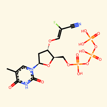 Cc1cn([C@H]2C[C@H](O/C=C(\F)C#N)[C@@H](COP(=O)(O)OP(=O)(O)OP(=O)(O)O)O2)c(=O)[nH]c1=O